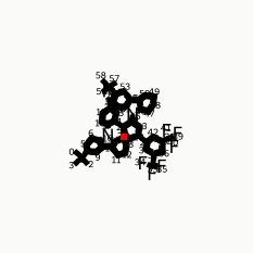 CC(C)(C)c1ccc2c(c1)c1ccccc1n2-c1ccc(C#N)cc1-c1ccc(-c2cc(C(F)(F)F)cc(C(F)(F)F)c2)cc1-n1c2ccccc2c2cc(C(C)(C)C)ccc21